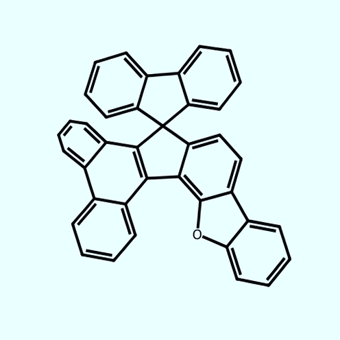 c1ccc2c(c1)-c1ccccc1C21c2ccc3c(oc4ccccc43)c2-c2c1c1ccccc1c1ccccc21